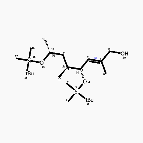 C/C(=C\[C@H](O[Si](C)(C)C(C)(C)C)[C@@H](C)C[C@@H](C)O[Si](C)(C)C(C)(C)C)CO